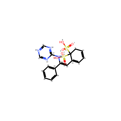 O=S(=O)(O)C1(S(=O)(=O)O)CC=CC=C1C=C(Nc1ncncn1)c1ccccc1